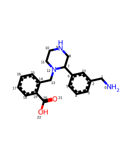 NCc1cccc(C2CNCCN2Cc2ccccc2C(=O)O)c1